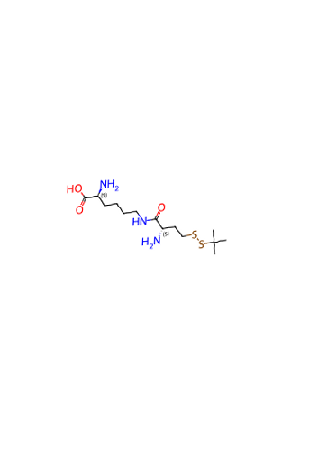 CC(C)(C)SSCC[C@H](N)C(=O)NCCCC[C@H](N)C(=O)O